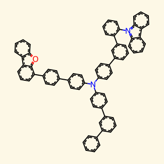 c1ccc(-c2cccc(-c3ccc(N(c4ccc(-c5ccc(-c6cccc7c6oc6ccccc67)cc5)cc4)c4ccc(-c5cccc(-c6ccccc6-n6c7ccccc7c7ccccc76)c5)cc4)cc3)c2)cc1